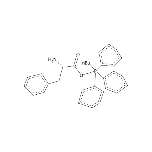 CCCCP(OC(=O)[C@@H](N)Cc1ccccc1)(c1ccccc1)(c1ccccc1)c1ccccc1